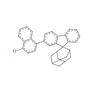 Clc1ccc(-c2ccc3c(c2)C2(c4ccccc4-3)C3CC4CC(C3)CC2C4)c2ccccc12